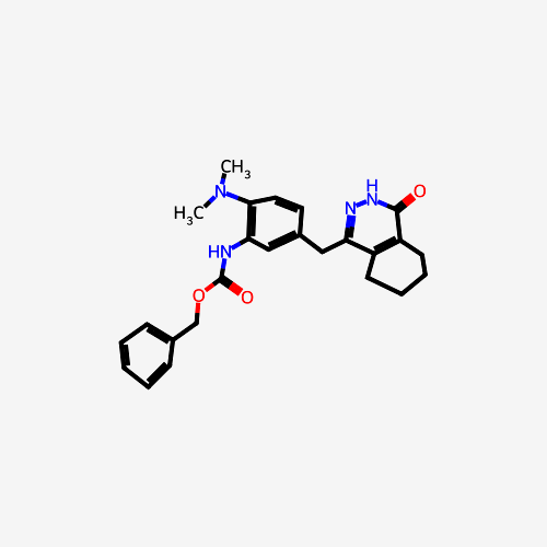 CN(C)c1ccc(Cc2n[nH]c(=O)c3c2CCCC3)cc1NC(=O)OCc1ccccc1